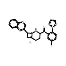 O=C(c1cc(F)ccc1-n1nccn1)C1CC[C@H]2CC(c3cnc4ccccc4n3)N2N1